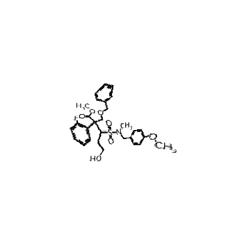 COC(=O)C(COCc1ccccc1)(c1ccccc1F)C(CCO)S(=O)(=O)N(C)Cc1ccc(OC)cc1